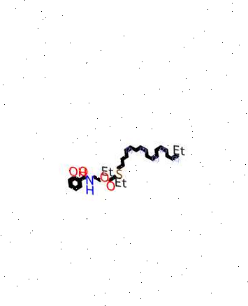 CC/C=C\C/C=C\C/C=C\C/C=C\C/C=C\CCCCSC(CC)(CC)C(=O)OCCNC(=O)c1ccccc1O